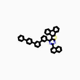 c1ccc(-c2ccc(-c3cccc(-c4cccc(-c5nc(-c6cccc7ccccc67)nc6sc7c8ccccc8c8ccccc8c7c56)c4)c3)cc2)cc1